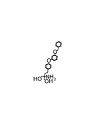 NC(CO)(CO)CCc1ccc(Oc2cccc(OCc3ccccc3)c2)cc1